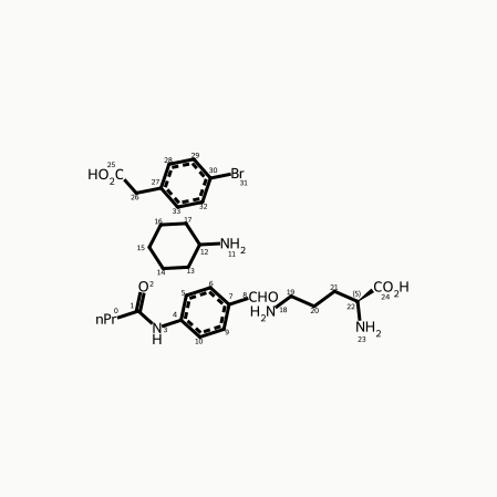 CCCC(=O)Nc1ccc(C=O)cc1.NC1CCCCC1.NCCC[C@H](N)C(=O)O.O=C(O)Cc1ccc(Br)cc1